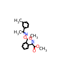 CO/N=C(/C(=O)OC)c1ccccc1CO/N=C(\C)c1cccc(C)c1